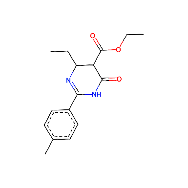 CCOC(=O)C1C(=O)NC(c2ccc(C)cc2)=NC1CC